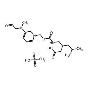 CC(C)CC(CNC(=O)OCN1C=CC=C(N(C)CC=O)C1)CC(=O)O.CS(=O)(=O)O